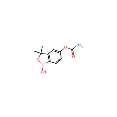 CC1(C)OB(O)c2ccc(OC(N)=O)cc21